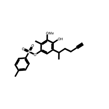 C#CCCC(C)c1cc(OS(=O)(=O)c2ccc(C)cc2)c(C)c(OC)c1O